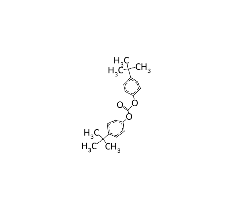 CC(C)(C)c1ccc(OC(=O)Oc2ccc(C(C)(C)C)cc2)cc1